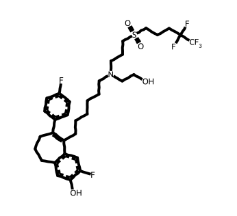 O=S(=O)(CCCN(CCO)CCCCCCC1=C(c2ccc(F)cc2)CCCc2cc(O)c(F)cc21)CCCC(F)(F)C(F)(F)F